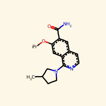 CC1CCN(c2nccc3cc(C(N)=O)c(OC(C)C)cc23)C1